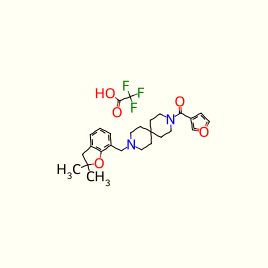 CC1(C)Cc2cccc(CN3CCC4(CC3)CCN(C(=O)c3ccoc3)CC4)c2O1.O=C(O)C(F)(F)F